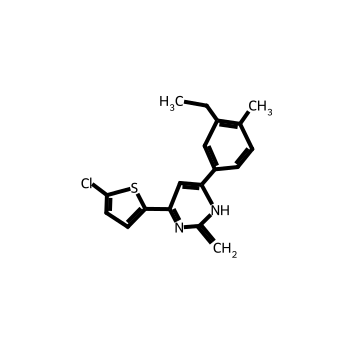 C=C1N=C(c2ccc(Cl)s2)C=C(c2ccc(C)c(CC)c2)N1